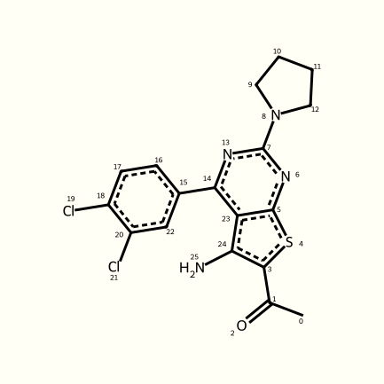 CC(=O)c1sc2nc(N3CCCC3)nc(-c3ccc(Cl)c(Cl)c3)c2c1N